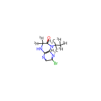 [2H]C1([2H])Nc2ncc(Br)nc2N(C(C)(C)C([2H])([2H])[2H])C1=O